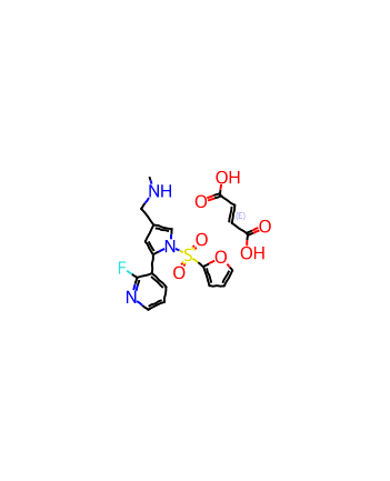 CNCc1cc(-c2cccnc2F)n(S(=O)(=O)c2ccco2)c1.O=C(O)/C=C/C(=O)O